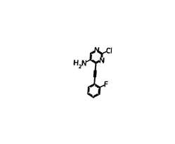 Nc1cnc(Cl)nc1C#Cc1ccccc1F